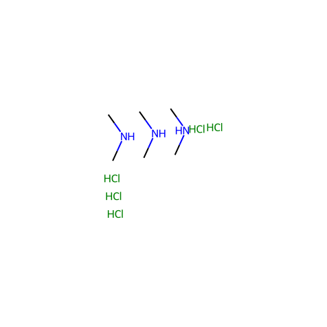 CNC.CNC.CNC.Cl.Cl.Cl.Cl.Cl